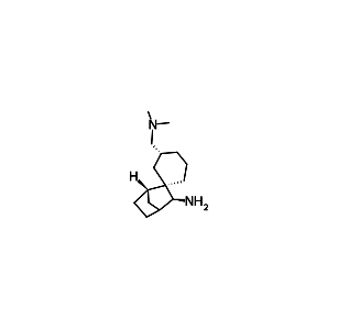 CN(C)C[C@@H]1CCC[C@@]2(C1)[C@H]1CCC(C1)[C@@H]2N